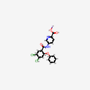 O=C(OI)c1ccc(NC(=O)c2cc(Cl)c(Cl)cc2Oc2ccccc2)cn1